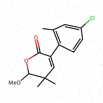 COC1OC(=O)C(c2ccc(Cl)cc2C)=CC1(C)C